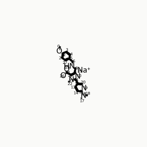 COc1ccc(CNCc2nc(-c3ccc(N(C)C)nc3)n(C)c2C(=O)[O-])cc1.[Na+]